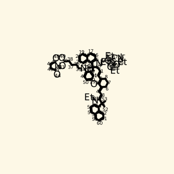 CCN1/C(=C\C=C2/CCCC(/C=C/C3=[N+](CC)c4ccc5ccccc5c4C3(C)C)=C2Oc2ccc(NCCCCC(=O)ON3C(=O)CCC3=O)cc2)C(C)(C)c2c1ccc1ccccc21.CCO[Si](C#N)(OCC)OCC.[I-]